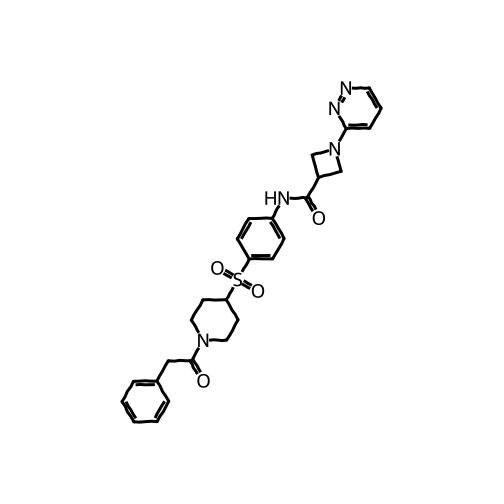 O=C(Nc1ccc(S(=O)(=O)C2CCN(C(=O)Cc3ccccc3)CC2)cc1)C1CN(c2cccnn2)C1